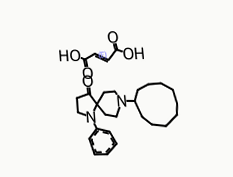 O=C(O)/C=C/C(=O)O.O=C1CCN(c2ccccc2)C12CCN(C1CCCCCCCCC1)CC2